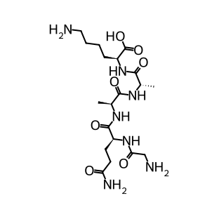 C[C@H](NC(=O)[C@H](C)NC(=O)[C@H](CCC(N)=O)NC(=O)CN)C(=O)N[C@@H](CCCCN)C(=O)O